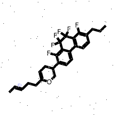 C/C=C/CCC1=CCC(c2ccc3c(c2F)C(F)(F)C(F)(F)c2c-3ccc(CCC)c2F)CO1